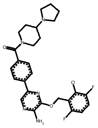 Nc1ncc(-c2ccc(C(=O)N3CCC(N4CCCC4)CC3)cc2)nc1OCc1c(F)ccc(F)c1Cl